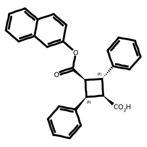 O=C(O)[C@H]1[C@@H](c2ccccc2)[C@@H](C(=O)Oc2ccc3ccccc3c2)[C@@H]1c1ccccc1